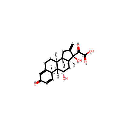 C=C1C[C@H]2[C@@H]3CCC4=CC(=O)C=C[C@]4(C)[C@H]3[C@@H](O)C[C@]2(C)[C@@]1(O)C(=O)C(=O)O